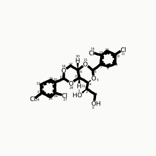 OC[C@@H](O)[C@H]1OC(c2ccc(Cl)cc2Cl)O[C@H]2COC(c3ccc(Cl)cc3Cl)O[C@@H]12